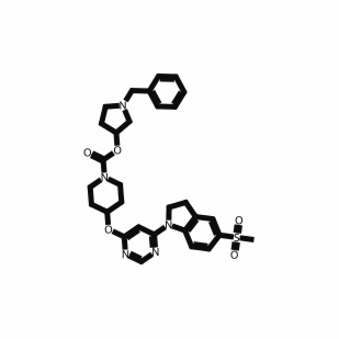 CS(=O)(=O)c1ccc2c(c1)CCN2c1cc(OC2CCN(C(=O)OC3CCN(Cc4ccccc4)C3)CC2)ncn1